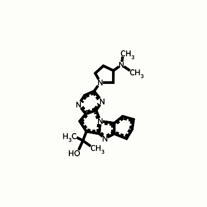 CN(C)C1CCN(c2cnc3cc(C(C)(C)O)c4nc5ccccc5n4c3n2)C1